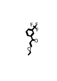 CCOC=CC(=O)c1cccc(C(F)(F)F)c1